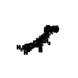 CNS(=O)(=O)C1CCN([C@@H](C)Cn2c(C#N)cc3c(C)c(CN4CCC5(CCN(c6ncnc7sc(CC(F)(F)F)cc67)C5)C4)ccc32)CC1